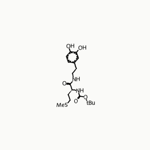 CSCC[C@H](NC(=O)OC(C)(C)C)C(=O)NCCc1ccc(O)c(O)c1